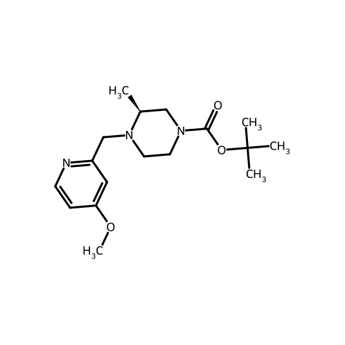 COc1ccnc(CN2CCN(C(=O)OC(C)(C)C)C[C@@H]2C)c1